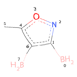 Bc1noc(C)c1B